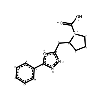 O=C(O)N1CCCC1Cc1nnc(-c2ccccc2)o1